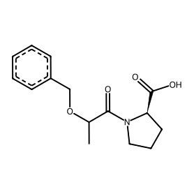 CC(OCc1ccccc1)C(=O)N1CCC[C@@H]1C(=O)O